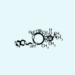 CCCN1C[C@H](C)C[C@@](C)(OC)[C@H](O[C@@H]2O[C@H](C)C[C@H](N(C)C)[C@H]2O)[C@@H](C)C(=O)C(C)(C)C(=O)OC[C@H]1CCCN1CCc2cncnc2C1